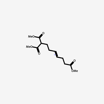 COC(=O)CC/C=C/CCC(C(=O)OC)C(=O)OC